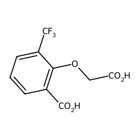 O=C(O)COc1c(C(=O)O)cccc1C(F)(F)F